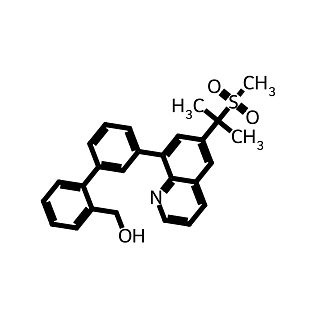 CC(C)(c1cc(-c2cccc(-c3ccccc3CO)c2)c2ncccc2c1)S(C)(=O)=O